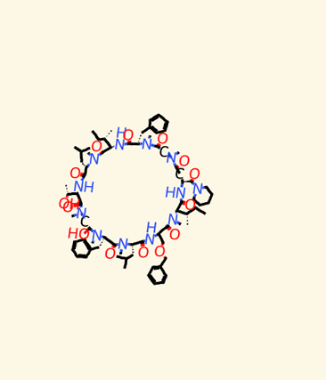 CC[C@H](C)[C@@H]1NC(=O)[C@H](Cc2ccccc2)N(C)C(=O)CN(C)C(=O)C[C@@H](C(=O)N2CCCCC2)NC(=O)[C@H]([C@@H](C)CC)N(C)C(=O)C(COCc2ccccc2)NC(=O)[C@H](CC(C)C)N(C)C(=O)[C@H](Cc2ccccc2)N(C)C(O)CN(C)C(=O)[C@H]([C@@H](C)O)NC(=O)[C@H](CC(C)C)N(C)C1=O